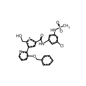 CS(=O)(=O)Nc1cc(Cl)cc(NC(=O)c2cc(-c3ncccc3OCc3ccccc3)c(CO)s2)c1